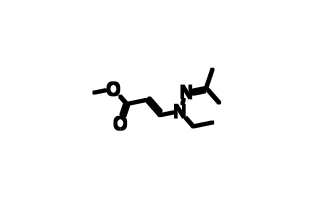 CCN(/C=C/C(=O)OC)N=C(C)C